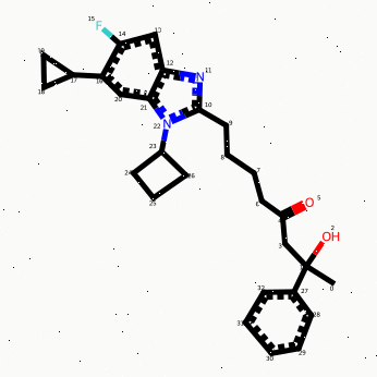 CC(O)(CC(=O)CCCCc1nc2cc(F)c(C3CC3)cc2n1C1CCC1)c1ccccc1